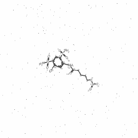 NS(=O)(=O)c1cc(S(N)(=O)=O)c(NC(=O)CCCCO[N+](=O)[O-])cc1Cl